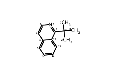 CC(C)(C)c1nccc2ccccc12